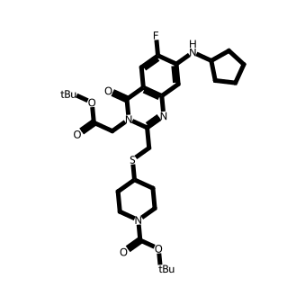 CC(C)(C)OC(=O)Cn1c(CSC2CCN(C(=O)OC(C)(C)C)CC2)nc2cc(NC3CCCC3)c(F)cc2c1=O